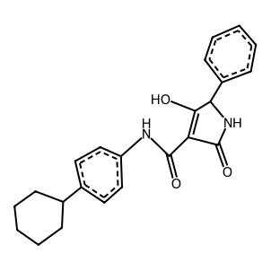 O=C(Nc1ccc(C2CCCCC2)cc1)C1=C(O)C(c2ccccc2)NC1=O